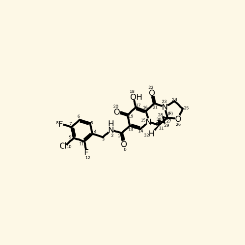 O=C(NCc1ccc(F)c(Cl)c1F)c1cn2c(c(O)c1=O)C(=O)N1CCO[C@@]13CCC[C@@H]23